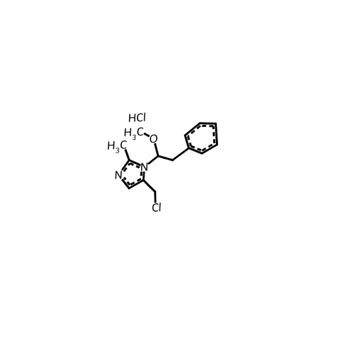 COC(Cc1ccccc1)n1c(CCl)cnc1C.Cl